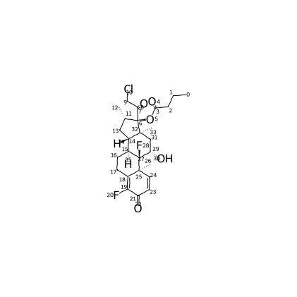 CCCC(=O)O[C@]1(C(=O)CCl)[C@@H](C)C[C@H]2[C@@H]3CCC4=C(F)C(=O)C=C[C@]4(C)[C@@]3(F)[C@@H](O)C[C@@]21C